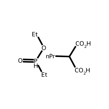 CCCC(C(=O)O)C(=O)O.CCO[PH](=O)CC